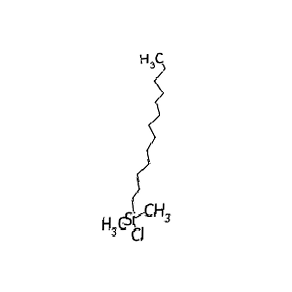 CCCCCCCCCCCCC[Si](C)(C)Cl